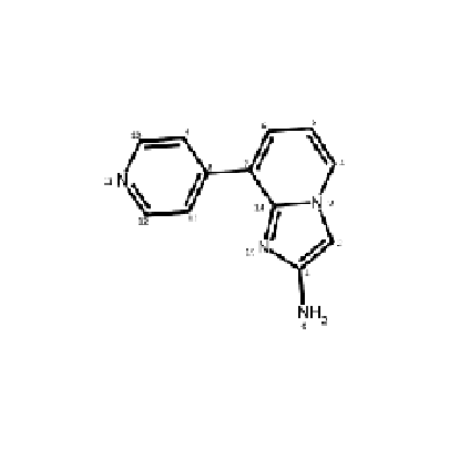 Nc1cn2cccc(-c3ccncc3)c2n1